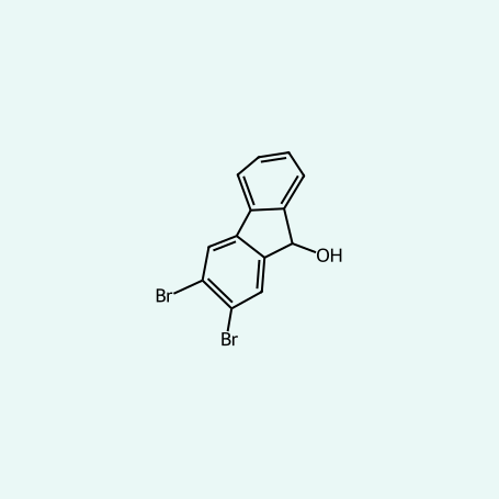 OC1c2ccccc2-c2cc(Br)c(Br)cc21